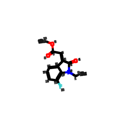 CC[C@H](C)CN1C(=O)/C(=C/C(=O)OC(C)(C)C)c2cccc(F)c21